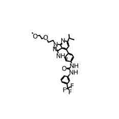 COCCOCCn1nc(N)c2c(-c3ccc(NC(=O)Nc4cccc(C(F)(F)F)c4)cc3)cc(C(C)C)nc21